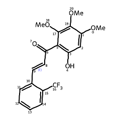 COc1cc(O)c(C(=O)/C=C/c2ccccc2C(F)(F)F)c(OC)c1OC